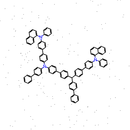 c1ccc(-c2ccc(C(c3ccc(-c4ccc(N(c5ccc(-c6ccccc6)cc5)c5ccc(-c6ccc(N(c7ccccc7)c7cccc8ccccc78)cc6)cc5)cc4)cc3)c3ccc(-c4ccc(N(c5ccccc5)c5cccc6ccccc56)cc4)cc3)cc2)cc1